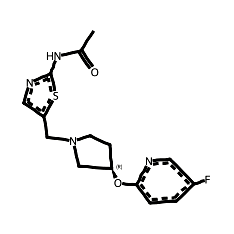 CC(=O)Nc1ncc(CN2CC[C@@H](Oc3ccc(F)cn3)C2)s1